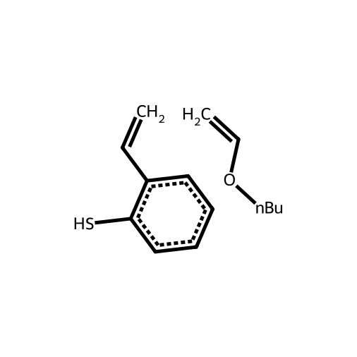 C=COCCCC.C=Cc1ccccc1S